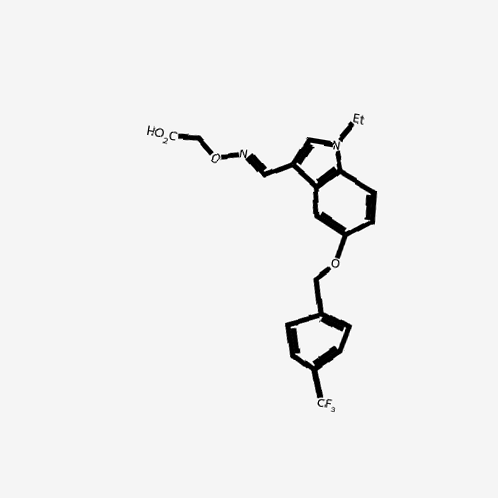 CCn1cc(C=NOCC(=O)O)c2cc(OCc3ccc(C(F)(F)F)cc3)ccc21